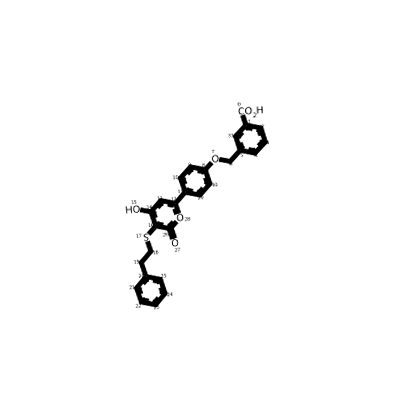 O=C(O)c1cccc(COc2ccc(-c3cc(O)c(SCCc4ccccc4)c(=O)o3)cc2)c1